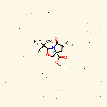 COC(=O)[C@@]12COC(C(C)(C)C)N1C(=O)[C@H](C)C2